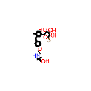 CS[C@H]1O[C@@H](c2ccc(C)c(Cc3ccc(OCCNC(C)(C)CO)cc3)c2)[C@H](O)[C@@H](O)[C@@H]1O